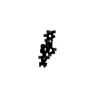 Cc1ccc(Cn2nc3n(c2=O)C(C(=O)N2CC4C(C2)C4(F)F)CCC3)cc1